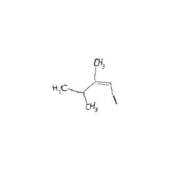 CC(=CI)C(C)C